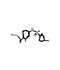 COC(=O)c1ccc(NS(=O)(=O)c2ccc(F)cc2)cc1C